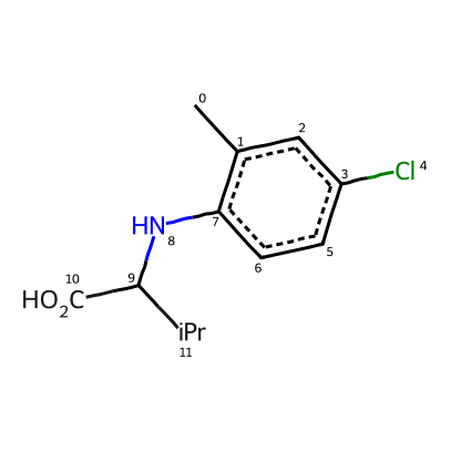 Cc1cc(Cl)ccc1NC(C(=O)O)C(C)C